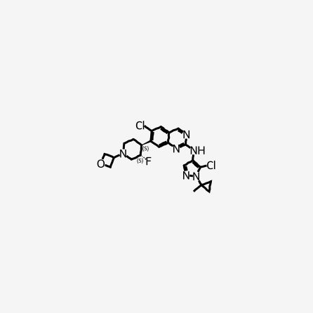 CC1(n2ncc(Nc3ncc4cc(Cl)c([C@@H]5CCN(C6COC6)C[C@H]5F)cc4n3)c2Cl)CC1